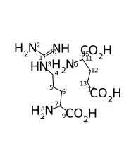 N=C(N)NCCCC(N)C(=O)O.N[C@@H](CCC(=O)O)C(=O)O